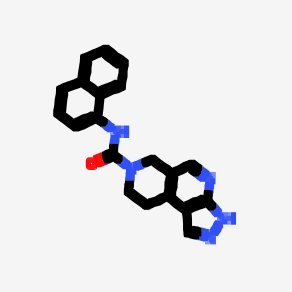 O=C(Nc1cccc2ccccc12)N1CCc2c(cnc3[nH]ncc23)C1